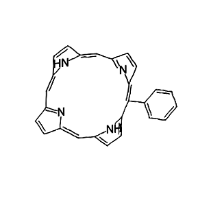 C1=Cc2cc3ccc([nH]3)c(-c3ccccc3)c3nc(cc4ccc(cc1n2)[nH]4)C=C3